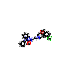 O=C(NCCCN1CCC2(CC1)OCc1ccc(Cl)cc12)C(c1ccccc1)c1ccccc1